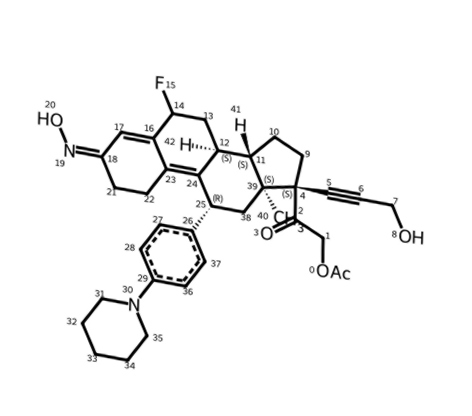 CC(=O)OCC(=O)[C@@]1(C#CCO)CC[C@H]2[C@@H]3CC(F)C4=CC(=NO)CCC4=C3[C@@H](c3ccc(N4CCCCC4)cc3)C[C@@]21C